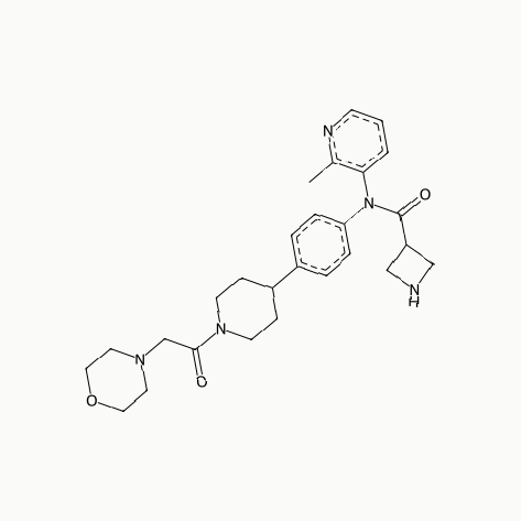 Cc1ncccc1N(C(=O)C1CNC1)c1ccc(C2CCN(C(=O)CN3CCOCC3)CC2)cc1